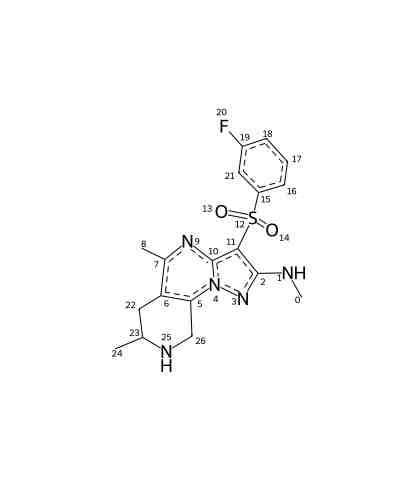 CNc1nn2c3c(c(C)nc2c1S(=O)(=O)c1cccc(F)c1)CC(C)NC3